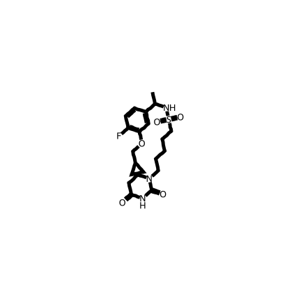 CC(NS(=O)(=O)CCCCCN1CCC(=O)NC1=O)c1ccc(F)c(OCC2CC2)c1